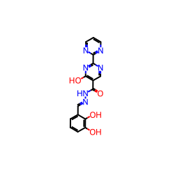 O=C(N/N=C/c1cccc(O)c1O)c1cnc(-c2ncccn2)nc1O